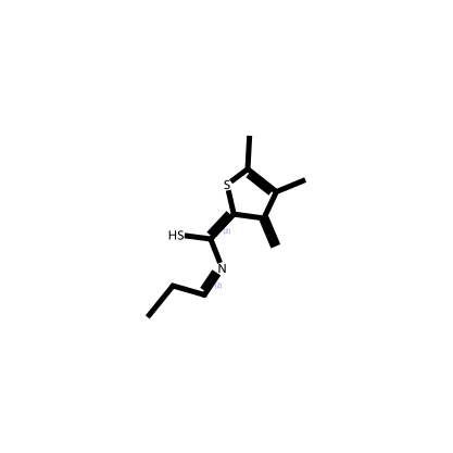 C=c1c(C)c(C)s/c1=C(S)/N=C\CC